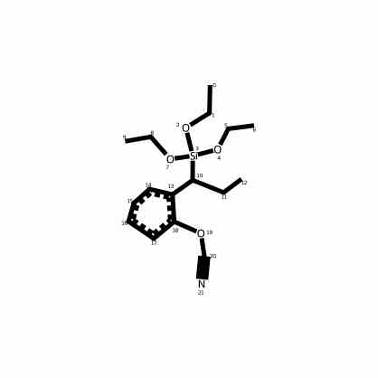 CCO[Si](OCC)(OCC)C(CC)c1ccccc1OC#N